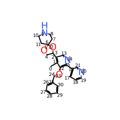 Cc1c(C2COC3(CCNCC3)O2)cnc(-c2cccnc2)c1OCc1ccccc1